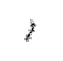 CCNNC(=O)CCOCCNC(=O)CCN1C(=O)CC(C)C1=O